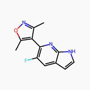 Cc1noc(C)c1-c1nc2[nH]ccc2cc1F